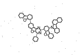 c1ccc(-c2nc(-c3ccc(-n4c5ccccc5c5c6ccccc6ccc54)c4c3oc3ccccc34)nc3c2oc2ccc(-c4cccc5c4oc4ccccc45)cc23)cc1